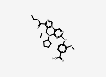 CCOC(=O)c1ncn2c1[C@@H](CC)N(C1CCCC1)c1nc(Nc3ccc(C(=O)O)cc3OC)ncc1-2